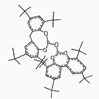 CC(C)(C)c1cc2c(c(C(C)(C)C)c1)OP(Op1oc3c(C(C)(C)C)cc(C(C)(C)C)cc3c3cc(C(C)(C)C)cc(C(C)(C)C)c3o1)Oc1c(cc(C(C)(C)C)cc1C(C)(C)C)C2